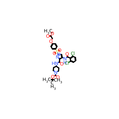 COC(=O)COc1ccc(S(=O)(=O)n2cc(NC(=O)c3c(Cl)cccc3Cl)c(C(=O)NC3CCN(C(=O)OC(C)(C)C)CC3)n2)cc1